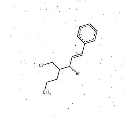 CCCC(CCl)C(Br)/C=C/c1ccccc1